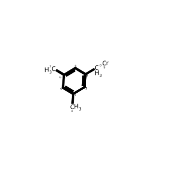 Cc1cc(C)cc(C)c1.[Cr]